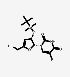 CC(C)(C)[Si](C)(C)O[C@@H]1C=C(CO)O[C@H]1n1cc(F)c(=O)[nH]c1=O